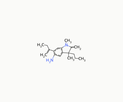 C=C(CC)c1cc2c(cc1N)C(C)(CCC)C(=C)N2C